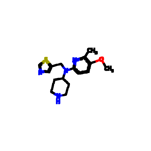 COc1ccc(N(Cc2cncs2)C2CCNCC2)nc1C